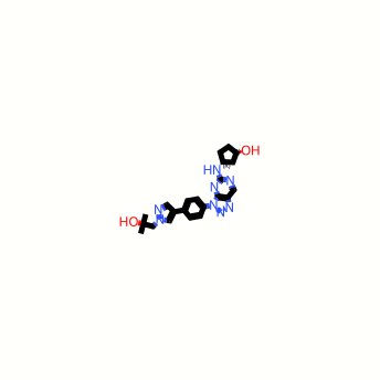 CC(C)(O)Cn1cc(-c2ccc(-n3nnc4cnc(N[C@@H]5CC[C@@H](O)C5)nc43)cc2)cn1